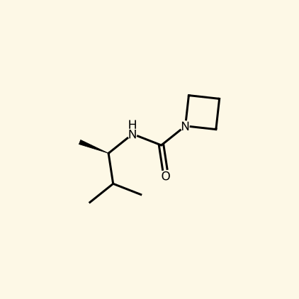 CC(C)[C@@H](C)NC(=O)N1CCC1